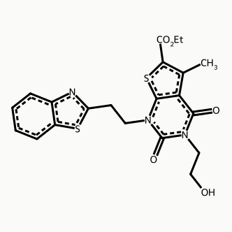 CCOC(=O)c1sc2c(c1C)c(=O)n(CCO)c(=O)n2CCc1nc2ccccc2s1